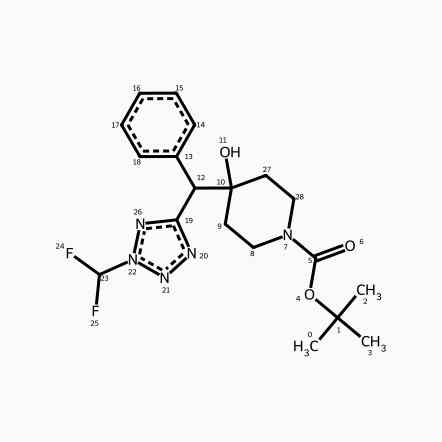 CC(C)(C)OC(=O)N1CCC(O)(C(c2ccccc2)c2nnn(C(F)F)n2)CC1